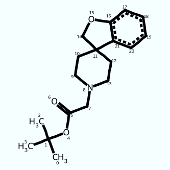 CC(C)(C)OC(=O)CN1CCC2(CC1)COc1ccccc12